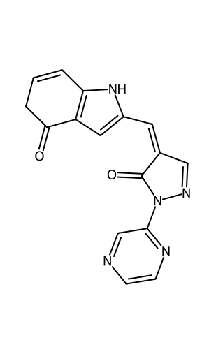 O=C1CC=Cc2[nH]c(C=C3C=NN(c4cnccn4)C3=O)cc21